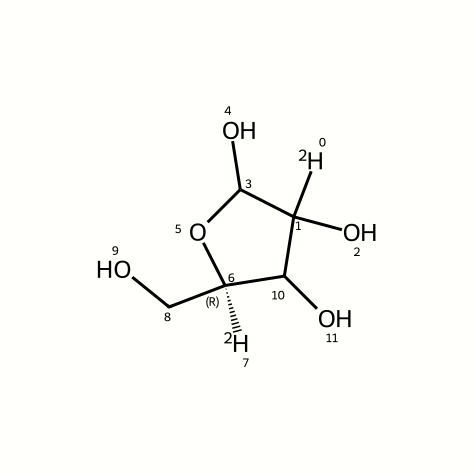 [2H]C1(O)C(O)O[C@]([2H])(CO)C1O